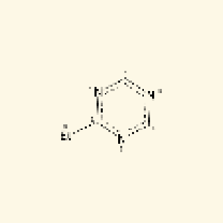 [CH2]Cc1ncncn1